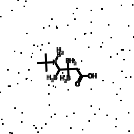 BC(N(B)C(C)(C)C)C(B)(B)CC(=O)O